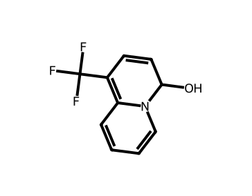 OC1C=CC(C(F)(F)F)=C2C=CC=CN21